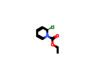 CCOC(=O)N1C=CC=C[C@@H]1Cl